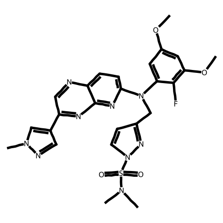 COc1cc(OC)c(F)c(N(Cc2ccn(S(=O)(=O)N(C)C)n2)c2ccc3ncc(-c4cnn(C)c4)nc3n2)c1